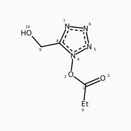 CCC(=O)On1nnnc1CO